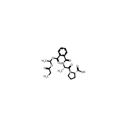 CCC(=O)OC(C)OC(=O)c1ccccc1C(=O)N[C@@H](C)C(=O)N1CCC[C@H]1C(=O)O